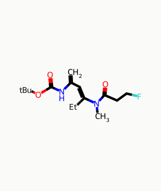 C=C(/C=C(\CC)N(C)C(=O)CCF)NC(=O)OC(C)(C)C